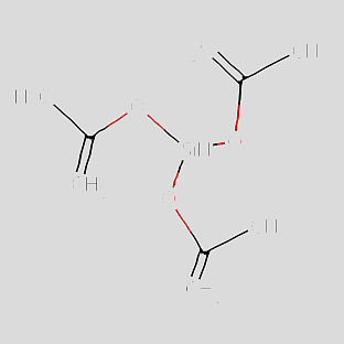 C=C(C)O[SiH](OC(=C)C)OC(=C)C